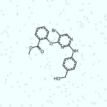 COC(=O)c1ccccc1Oc1nc(Nc2ccc(CO)cc2)ncc1Br